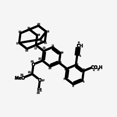 C#Cc1c(C(=O)O)cccc1-c1ccc(C23CC4CC(CC(C4)C2)C3)c(OC(OC)OCC)c1